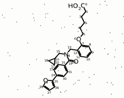 O=C(O)CCCCCOc1ccccc1CN(CC1CC1)C(=O)c1ccc(-c2ccco2)cc1